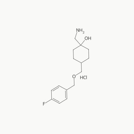 Cl.NCC1(O)CCC(COCc2ccc(F)cc2)CC1